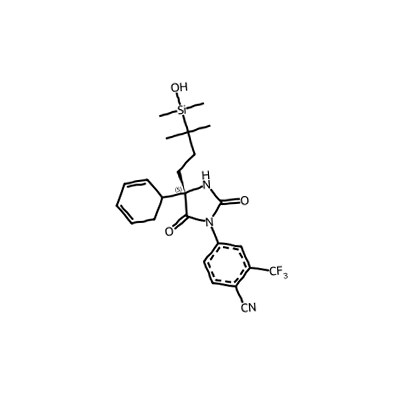 CC(C)(CC[C@@]1(C2C=CC=CC2)NC(=O)N(c2ccc(C#N)c(C(F)(F)F)c2)C1=O)[Si](C)(C)O